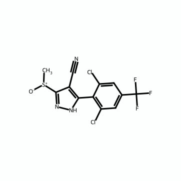 C[S+]([O-])c1n[nH]c(-c2c(Cl)cc(C(F)(F)F)cc2Cl)c1C#N